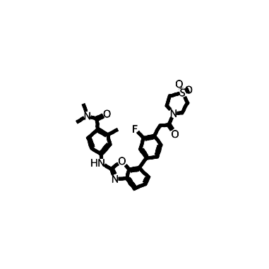 Cc1cc(Nc2nc3cccc(-c4ccc(CC(=O)N5CCS(=O)(=O)CC5)c(F)c4)c3o2)ccc1C(=O)N(C)C